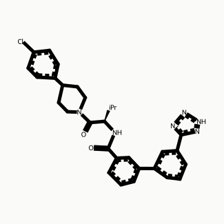 CC(C)[C@@H](NC(=O)c1cccc(-c2cccc(-c3nn[nH]n3)c2)c1)C(=O)N1CCC(c2ccc(Cl)cc2)CC1